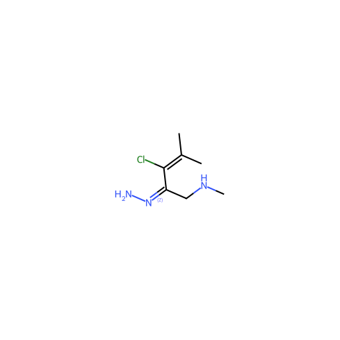 CNC/C(=N/N)C(Cl)=C(C)C